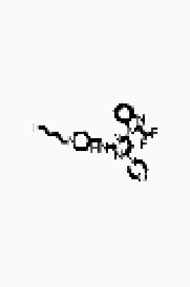 FCCCCN1CCC(CNc2nc(N3CCOCC3)cc(-n3c(C(F)F)nc4ccccc43)n2)CC1